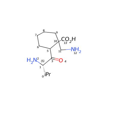 CC(C)[C@H](N)C(=O)C1CCCCC1(CN)C(=O)O